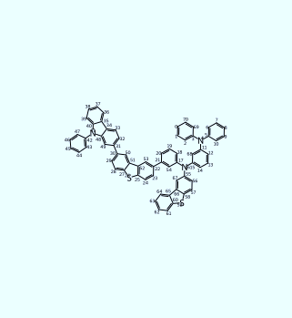 c1ccc(N(c2ccccc2)c2cccc(N(c3cccc(-c4ccc5sc6ccc(-c7ccc8c9ccccc9n(-c9ccccc9)c8c7)cc6c5c4)c3)c3ccc4sc5ccccc5c4c3)c2)cc1